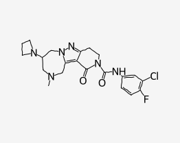 CN1Cc2c3c(nn2CC(N2CCC2)C1)CCN(C(=O)Nc1ccc(F)c(Cl)c1)C3=O